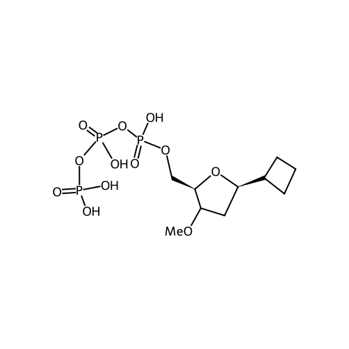 COC1C[C@H](C2CCC2)O[C@@H]1COP(=O)(O)OP(=O)(O)OP(=O)(O)O